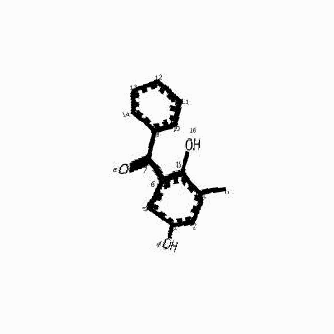 Cc1cc(O)cc(C(=O)c2ccccc2)c1O